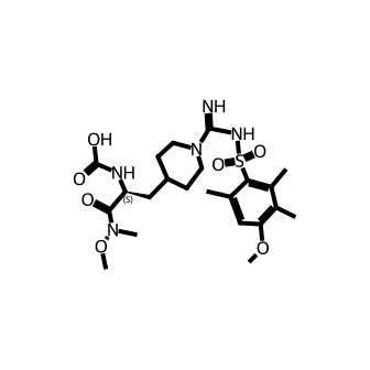 COc1cc(C)c(S(=O)(=O)NC(=N)N2CCC(C[C@H](NC(=O)O)C(=O)N(C)OC)CC2)c(C)c1C